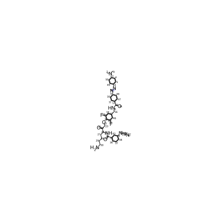 CN(C)c1ccc(/N=N/c2ccc(C(=O)NCc3cc(F)c(OCC(=O)C(CCCCN)NC(=O)c4cccc(N=[N+]=[N-])c4)c(F)c3)cc2)cc1